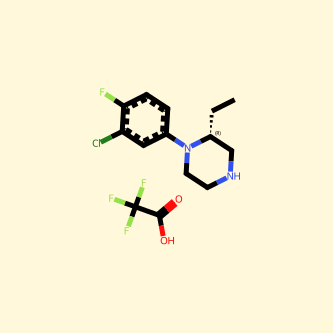 CC[C@@H]1CNCCN1c1ccc(F)c(Cl)c1.O=C(O)C(F)(F)F